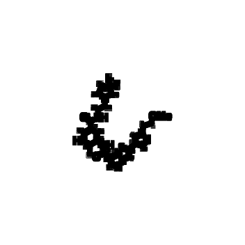 COCCn1cc(-c2cn3ncc(C(=O)NC4=CC(C(=O)NCCN5CCC(F)(F)C5)=CNC4C)c3s2)cn1